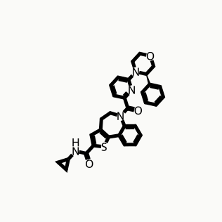 O=C(NC1CC1)c1cc2c(s1)-c1ccccc1N(C(=O)c1cccc(N3CCOC[C@H]3c3ccccc3)n1)CC2